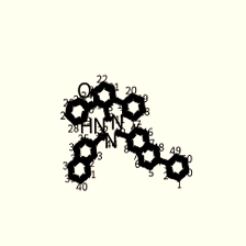 c1ccc(-c2ccc3cc(C4=NC(c5c(-c6ccccc6)ccc6oc7ccccc7c56)NC(c5ccc6ccccc6c5)=N4)ccc3c2)cc1